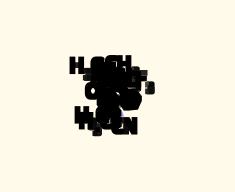 CCn1cc(-c2ccccc2[C@@H]2CN(C(=O)/C=C/C(C)N(C)C)CC(C)=C2/C=C(\C)C#N)c(C(F)(F)F)n1